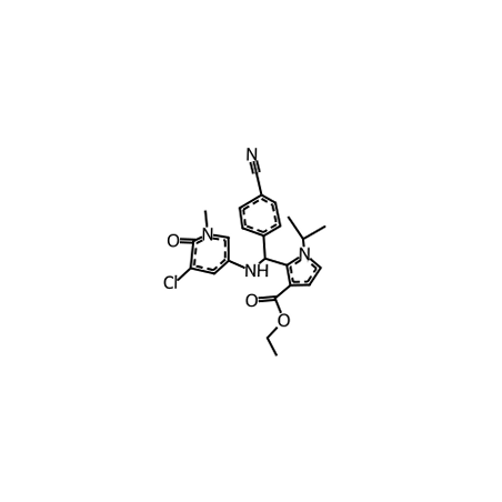 CCOC(=O)c1ccn(C(C)C)c1C(Nc1cc(Cl)c(=O)n(C)c1)c1ccc(C#N)cc1